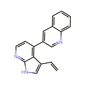 C=Cc1c[nH]c2nccc(-c3cnc4ccccc4c3)c12